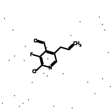 C=CCc1cnc(Cl)c(F)c1C=O